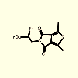 CCCCC(CC)CN1C(=O)c2c(C)sc(C)c2C1=O